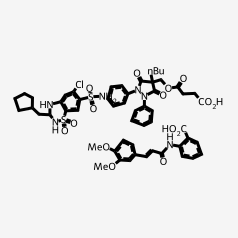 CCCCC1(COC(=O)CCC(=O)O)C(=O)N(c2ccccc2)N(c2ccccc2)C1=O.COc1ccc(/C=C/C(=O)Nc2ccccc2C(=O)O)cc1OC.NS(=O)(=O)c1cc2c(cc1Cl)NC(CC1CCCC1)NS2(=O)=O